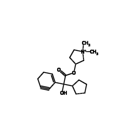 C[N+]1(C)CCC(OC(=O)C(O)(C2=CCCC#C2)C2CCCC2)C1